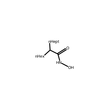 CCCCCCCC(CCCCCC)C(=O)NO